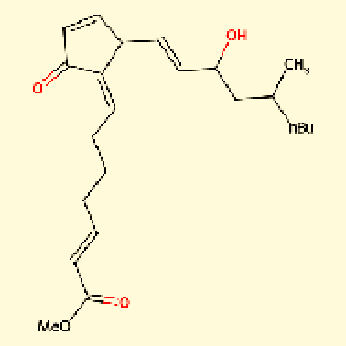 CCCCC(C)CC(O)C=CC1C=CC(=O)C1=CCCCC=CC(=O)OC